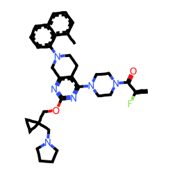 C=C(F)C(=O)N1CCN(c2nc(OCC3(CN4CCCC4)CC3)nc3c2CCN(c2cccc4cccc(C)c24)C3)CC1